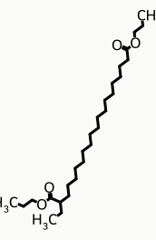 CCCOC(=O)CCCCCCCCCCCCCCCCCC(CC)C(=O)OCCC